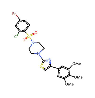 COc1cc(-c2csc(N3CCN(S(=O)(=O)c4ccc(Br)cc4Cl)CC3)n2)cc(OC)c1OC